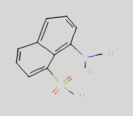 CSS(=O)(=O)c1cccc2cccc(N(C)C)c12